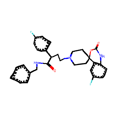 O=C1Nc2ccc(F)cc2C2(CCN(CCC(C(=O)NCc3ccccc3)c3ccc(F)cc3)CC2)O1